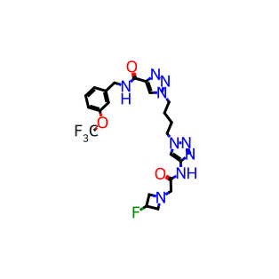 O=C(CN1CC(F)C1)Nc1cn(CCCCn2cc(C(=O)NCc3cccc(OC(F)(F)F)c3)nn2)nn1